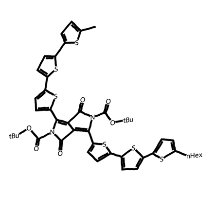 CCCCCCc1ccc(-c2ccc(-c3ccc(C4=C5C(=O)N(C(=O)OC(C)(C)C)C(c6ccc(-c7ccc(-c8ccc(C)s8)s7)s6)=C5C(=O)N4C(=O)OC(C)(C)C)s3)s2)s1